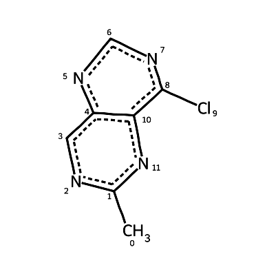 Cc1ncc2ncnc(Cl)c2n1